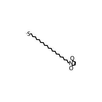 O=C1C=CC(=O)N1CCCCCCCCCCCCCCCCCCCC[S]